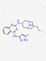 Cc1cc(Nc2nc(NC3CC4CC(CCF)CC(C3)N4)nc3ccccc23)n[nH]1